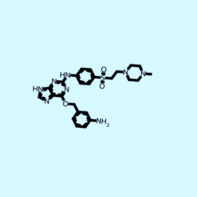 CN1CCN(CCS(=O)(=O)c2ccc(Nc3nc(OCc4cccc(N)c4)c4nc[nH]c4n3)cc2)CC1